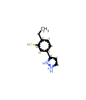 CCc1ccc(-c2cc[nH]n2)cc1F